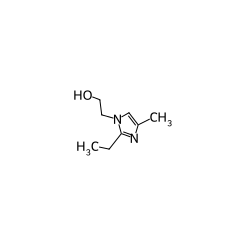 CCc1nc(C)cn1CCO